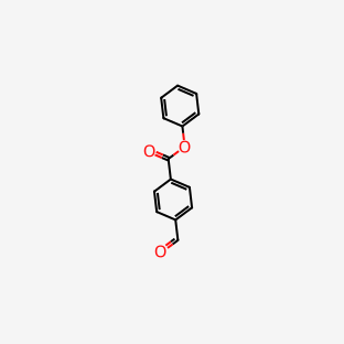 O=Cc1ccc(C(=O)Oc2ccccc2)cc1